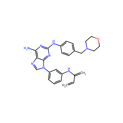 C=CC(=C)Nc1cccc(-n2cnc3c(N)nc(Nc4ccc(CN5CCOCC5)cc4)nc32)c1